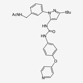 CC(=O)NCc1cccc(-n2nc(C(C)(C)C)cc2NC(=O)Nc2ccc(Oc3ccncc3)cc2)c1